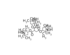 CC1(C)CC(OC(=O)CC(C(=O)OC2CC(C)(C)N(O)C2(C)C)C(=O)OC2CC(C)(C)N(O)C2(C)C)C(C)(C)N1O